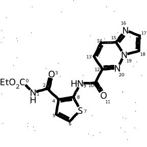 CCOC(=O)NC(=O)c1ccsc1NC(=O)c1ccc2nccn2n1